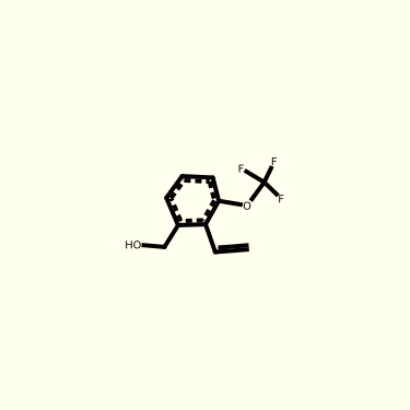 C=Cc1c(CO)cccc1OC(F)(F)F